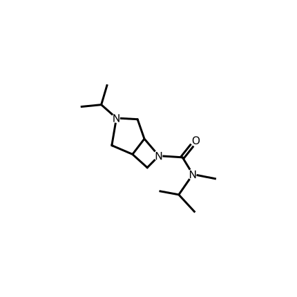 CC(C)N1CC2CN(C(=O)N(C)C(C)C)C2C1